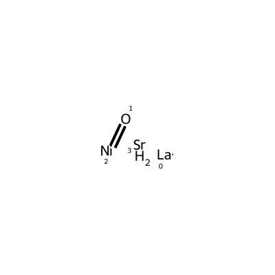 [La].[O]=[Ni].[SrH2]